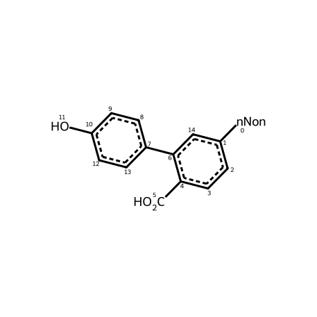 CCCCCCCCCc1ccc(C(=O)O)c(-c2ccc(O)cc2)c1